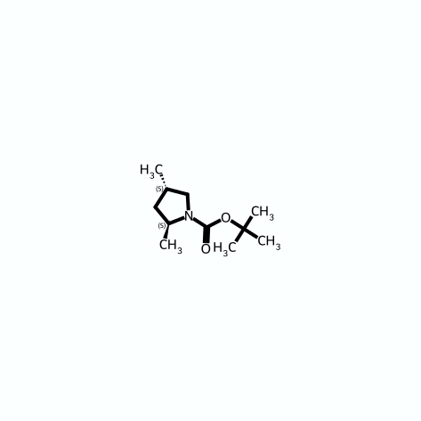 C[C@H]1C[C@H](C)N(C(=O)OC(C)(C)C)C1